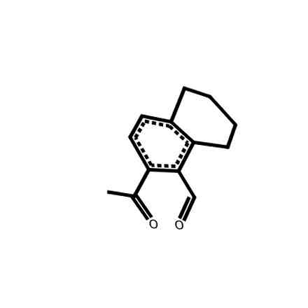 CC(=O)c1ccc2c(c1C=O)CCCC2